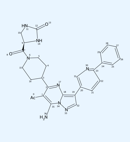 CC(=O)c1c(C2CCN(C(=O)[C@H]3CNC(=O)N3)CC2)nc2c(-c3ccc(-c4ccccc4)nc3)cnn2c1N